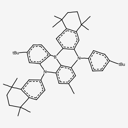 Cc1cc2c3c(c1)N(c1ccc(C(C)(C)C)cc1)c1cc4c(cc1B3c1ccc(C(C)(C)C)cc1N2c1ccc2c(c1)C(C)(C)CCC2(C)C)C(C)(C)CCC4(C)C